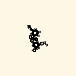 Cc1cc([O])cc(OS(=O)(=O)c2cccc(C#N)c2)c1